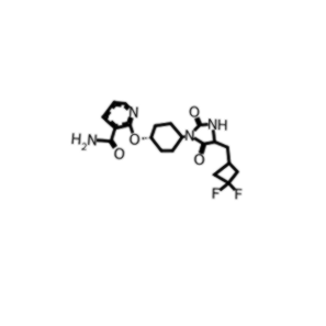 NC(=O)c1cccnc1O[C@H]1CC[C@H](N2C(=O)NC(CC3CC(F)(F)C3)C2=O)CC1